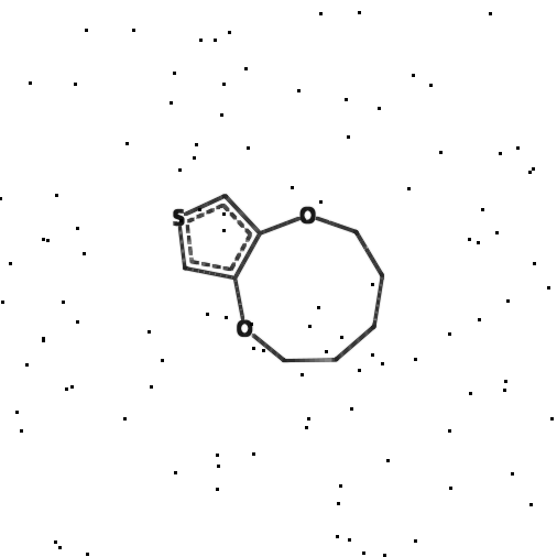 c1scc2c1OCCCCCO2